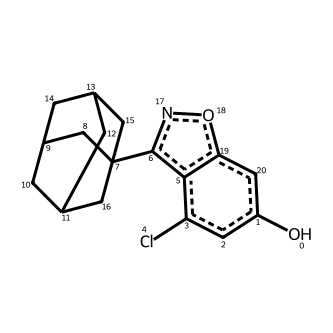 Oc1cc(Cl)c2c(C34CC5CC(CC(C5)C3)C4)noc2c1